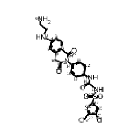 NCCNc1ccc2c(c1)CC(=O)N(c1ccc(NC(=O)NS(=O)(=O)c3cc(Cl)c(Cl)s3)cc1)C2=O